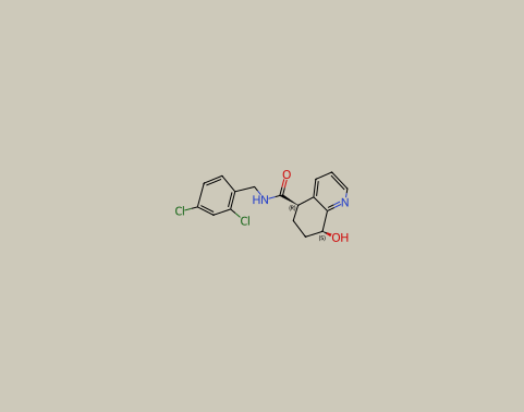 O=C(NCc1ccc(Cl)cc1Cl)[C@@H]1CC[C@H](O)c2ncccc21